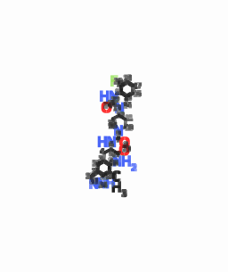 Cc1cc(CC(NC(=O)N2CCC(N3Cc4cccc(F)c4NC3=O)CC2)C(N)=O)cc2cn[nH]c12